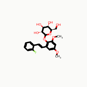 COc1cc(/C=C/c2ccccc2F)c(OC2O[C@H](CO)[C@@H](O)[C@H](O)[C@H]2O)c(OC)c1